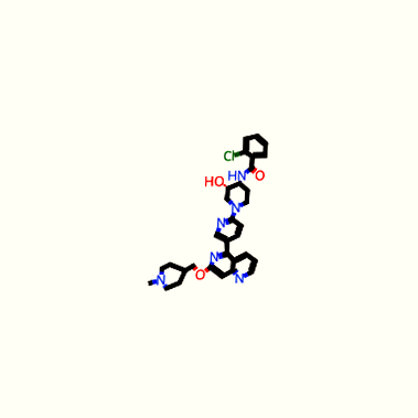 CN1CCC(COc2cc3ncccc3c(-c3ccc(N4CC[C@H](NC(=O)c5ccccc5Cl)[C@@H](O)C4)nc3)n2)CC1